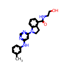 Cc1cccc(Nc2cc(N3CCc4c(C(=O)NCCO)cccc43)ncn2)c1